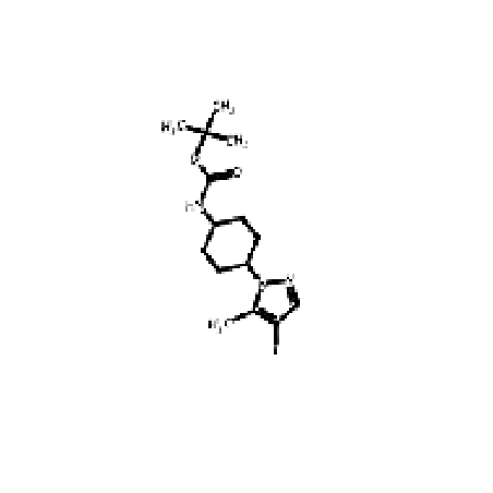 Cc1c(I)cnn1C1CCC(NC(=O)OC(C)(C)C)CC1